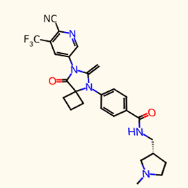 C=C1N(c2cnc(C#N)c(C(F)(F)F)c2)C(=O)C2(CCC2)N1c1ccc(C(=O)NC[C@@H]2CCN(C)C2)cc1